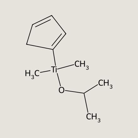 CC(C)[O][Ti]([CH3])([CH3])[C]1=CC=CC1